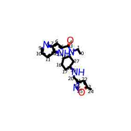 CCN(C(=O)c1cc2ncccc2[nH]1)C1CCCC(NCc2cc(C)on2)C1